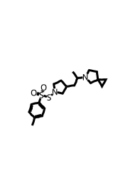 Cc1ccc(S(=O)(=O)SN2CCC(CC(C)N3CCC4(CC4)C3)C2)cc1